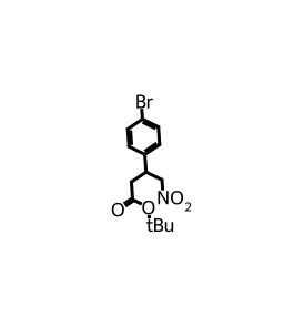 CC(C)(C)OC(=O)CC(C[N+](=O)[O-])c1ccc(Br)cc1